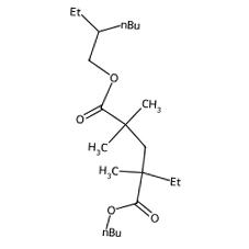 CCCCOC(=O)C(C)(CC)CC(C)(C)C(=O)OCC(CC)CCCC